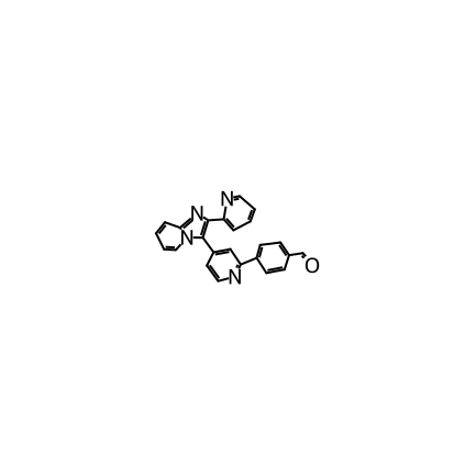 O=Cc1ccc(-c2cc(-c3c(-c4ccccn4)nc4ccccn34)ccn2)cc1